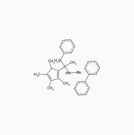 CCC(C)[NH][Zr]([CH3])([SiH2]c1ccccc1)[C]1=C(C)C(C)=C(C)C1C.c1ccc(-c2ccccc2)cc1